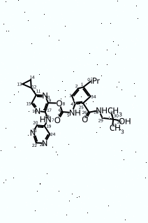 CC(C)c1ccc(NC(=O)Oc2nc(C3CC3)cnc2Nc2cncnc2)c(C(=O)NCC(C)(C)O)c1